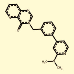 CN(C)c1cc(-c2cccc(Cn3cnc4cccnc4c3=O)c2)ccn1